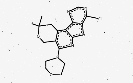 CC1(C)Cc2c(c(N3CCOCC3)nc3oc4c(Cl)ncnc4c23)CO1